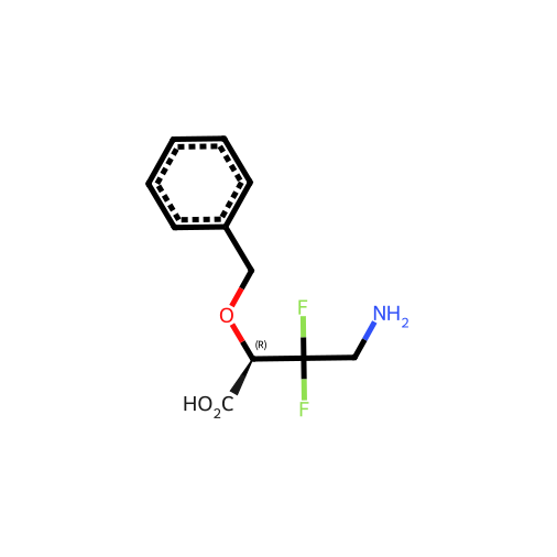 NCC(F)(F)[C@H](OCc1ccccc1)C(=O)O